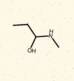 C[CH]C(O)NC